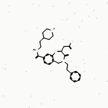 CN1CCC(CCN(C)C(=O)c2ccc3c(c2)NC(CC(=O)O)C(=O)N(CCc2ccccc2)C3)CC1